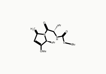 C=C1C=C(OC)[C@H](CCC)N1C(=O)[C@H](CCC)NC(=O)OC(C)(C)C